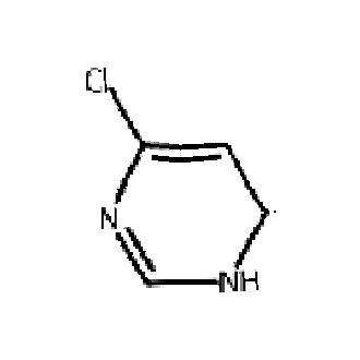 ClC1=C[CH]NC=N1